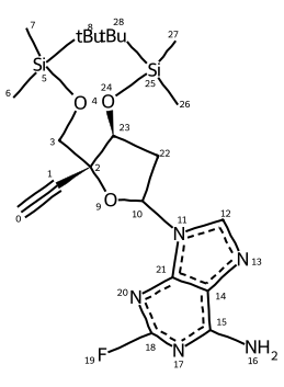 C#C[C@]1(CO[Si](C)(C)C(C)(C)C)OC(n2cnc3c(N)nc(F)nc32)C[C@@H]1O[Si](C)(C)C(C)(C)C